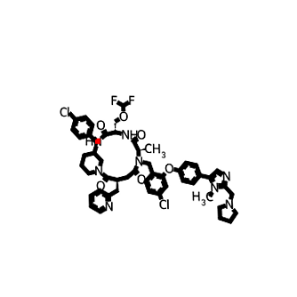 C[C@H]1C(=O)N[C@@H](COC(F)F)C(=O)N[C@@]2(Cc3ccc(Cl)cc3)CCCN(C2)C(=O)[C@H](Cc2ccccn2)CC(=O)N1Cc1ccc(Cl)cc1Oc1ccc(-c2cnc(CN3CCCC3)n2C)cc1